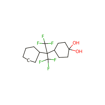 OC1(O)CCC(C(C2CCCCC2)(C(F)(F)F)C(F)(F)F)CC1